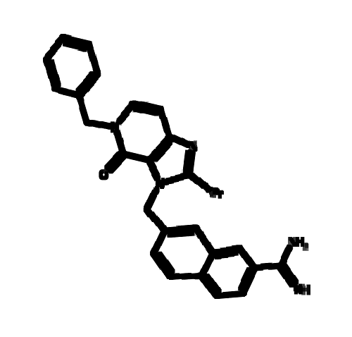 CC(C)c1nc2ccn(Cc3ccccc3)c(=O)c2n1Cc1ccc2ccc(C(=N)N)cc2c1